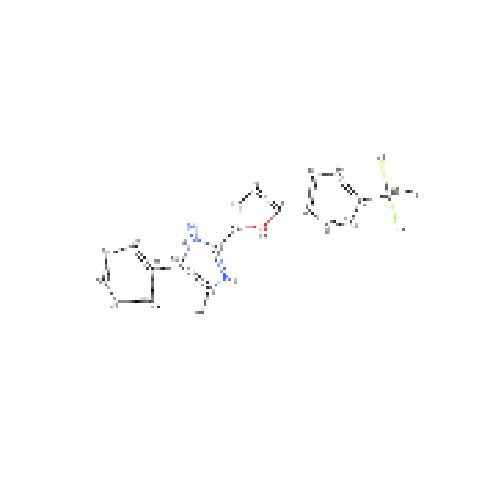 Cc1nc(-c2ccc(-c3ccc(C(C)(F)F)cc3)o2)[nH]c1-c1ccccc1